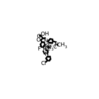 CN(C)Cc1ccc(-n2cc(C(=O)O)c(=O)c3cc(F)c(N4CCN(c5cccc(Cl)c5)CC4)c(OC(F)(F)F)c32)cc1